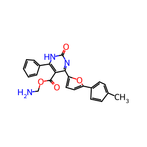 Cc1ccc(-c2ccc(-c3nc(=O)[nH]c(-c4ccccc4)c3C(=O)OCN)o2)cc1